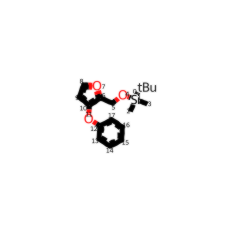 CC(C)(C)[Si](C)(C)OCc1occc1Oc1ccccc1